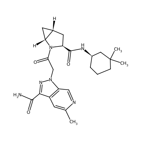 Cc1cc2c(C(N)=O)nn(CC(=O)N3[C@@H]4C[C@@H]4C[C@H]3C(=O)N[C@@H]3CCCC(C)(C)C3)c2cn1